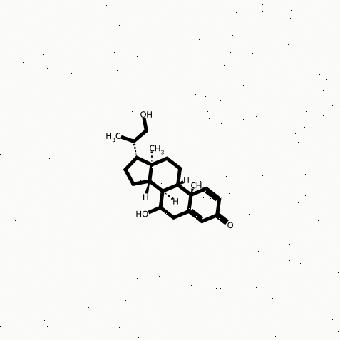 CC(CO)[C@H]1CC[C@H]2[C@@H]3C(O)CC4=CC(=O)C=C[C@]4(C)[C@H]3CC[C@]12C